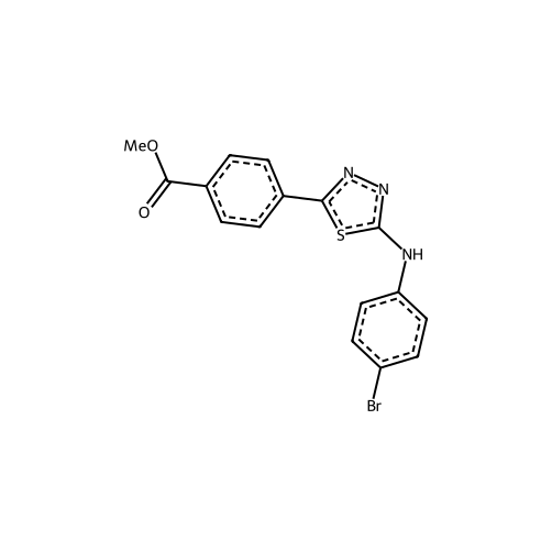 COC(=O)c1ccc(-c2nnc(Nc3ccc(Br)cc3)s2)cc1